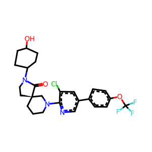 O=C1N(C2CCC(O)CC2)CC[C@@]12CCCN(c1ncc(-c3ccc(OC(F)(F)F)cc3)cc1Cl)C2